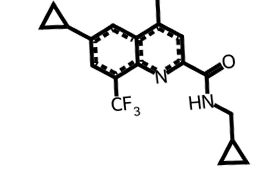 Cc1cc(C(=O)NCC2CC2)nc2c(C(F)(F)F)cc(C3CC3)cc12